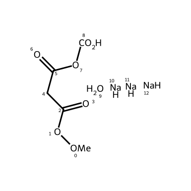 COOC(=O)CC(=O)OC(=O)O.O.[NaH].[NaH].[NaH]